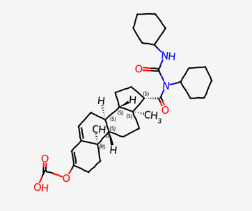 C[C@]12CC[C@H]3[C@@H](CC=C4C=C(OC(=O)O)CC[C@@]43C)[C@@H]1CC[C@@H]2C(=O)N(C(=O)NC1CCCCC1)C1CCCCC1